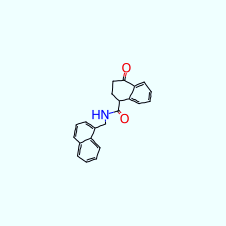 O=C1CCC(C(=O)NCc2cccc3ccccc23)c2ccccc21